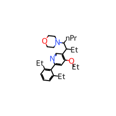 CCCC(C(CC)c1cnc(-c2c(CC)cccc2CC)cc1OCC)N1CCOCC1